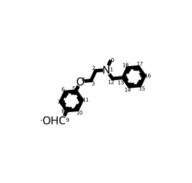 CN(CCOc1ccc([C]=O)cc1)Cc1ccccc1